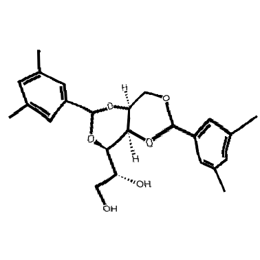 Cc1cc(C)cc(C2OC[C@@H]3OC(c4cc(C)cc(C)c4)O[C@H]([C@H](O)CO)[C@@H]3O2)c1